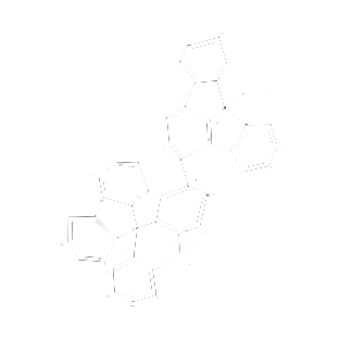 CC1(c2ccccc2)c2ccccc2-c2ccc(-c3ccc4c(c3)C(c3ccccc3)(c3ccccc3)c3ccccc3O4)cc21